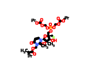 C=C1N(COC(=O)C(C)C(C)C)C(=O)C=CN1[C@@H]1O[C@](CF)(COP(=O)(OCOC(=O)OC(C)C)OCOC(=O)OC(C)C)[C@@H](O)[C@@]1(C)O